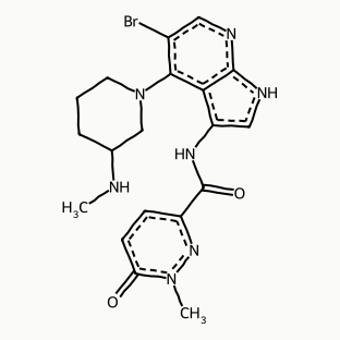 CNC1CCCN(c2c(Br)cnc3[nH]cc(NC(=O)c4ccc(=O)n(C)n4)c23)C1